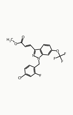 COC(=O)C=Cc1nn(Cc2ccc(Cl)cc2F)c2cc(OC(F)(F)F)ccc12